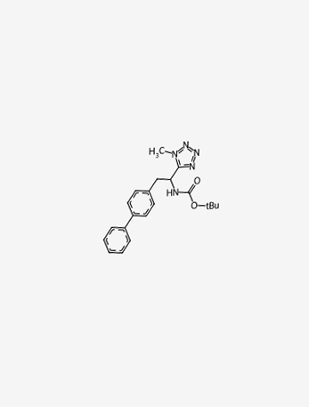 Cn1nnnc1C(Cc1ccc(-c2ccccc2)cc1)NC(=O)OC(C)(C)C